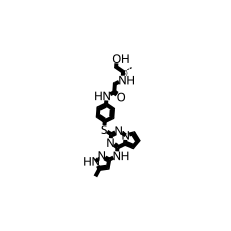 Cc1cc(Nc2nc(Sc3ccc(NC(=O)CN[C@@H](C)CO)cc3)nn3cccc23)n[nH]1